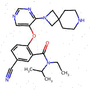 CCN(C(=O)c1cc(C#N)ccc1Oc1cncnc1N1CC2(CCNCC2)C1)C(C)C